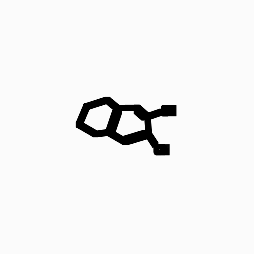 N#Cc1cc2c(cc1S)CCCC2